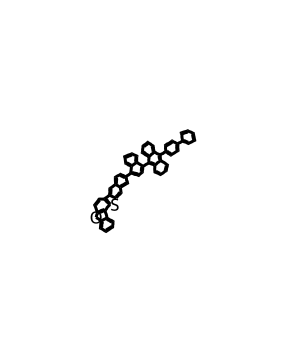 c1ccc(-c2ccc(-c3c4ccccc4c(-c4ccc(-c5ccc6cc7c(cc6c5)sc5c7ccc6oc7ccccc7c65)c5ccccc45)c4ccccc34)cc2)cc1